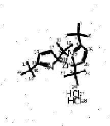 CC(C)(C)C1=N[C]([Zr][C]2(C(C)(C)C)C=CC(C(C)(C)C)=N2)(C(C)(C)C)C=C1.Cl.Cl